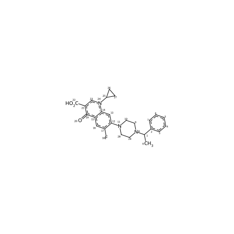 CC(c1ccccc1)N1CCN(c2cc3c(cc2F)c(=O)c(C(=O)O)cn3C2CC2)CC1